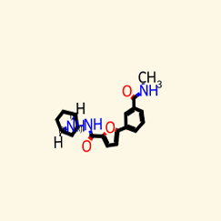 CNC(=O)c1cccc(-c2ccc(C(=O)N[C@@H]3C[C@H]4CC[C@@H]3N4)o2)c1